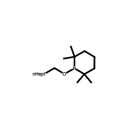 CCCCCCCCON1C(C)(C)C[CH]CC1(C)C